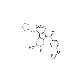 Cc1c([C@H](CC2CCCC2)C(=O)O)c2cc(O)c(F)cc2n1C(=O)c1ccc(OC(F)(F)F)cc1